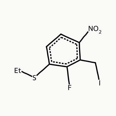 CCSc1ccc([N+](=O)[O-])c(CI)c1F